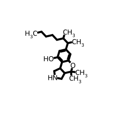 CCCCCC(C)C(C)c1cc(O)c2c(c1)OC(C)(C)C1CNCC21